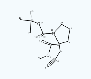 COC(=O)C1(CC#N)CCCN1C(=O)OC(C)(C)C